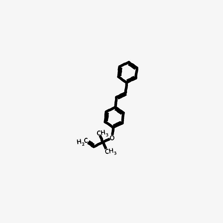 C=CC(C)(C)Oc1ccc(C=Cc2ccccc2)cc1